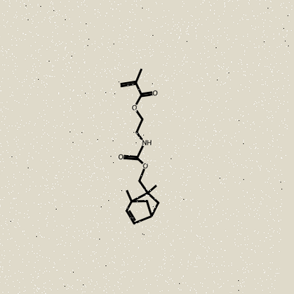 C=C(C)C(=O)OCCNC(=O)OCC1(C)CC2C=CC1(C)C2